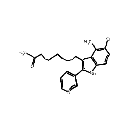 Cc1c(Cl)ccc2[nH]c(-c3cccnc3)c(CCCCCC(N)=O)c12